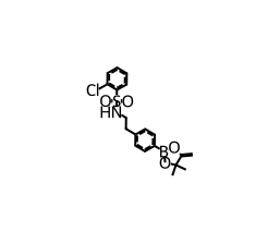 C=C1OB(c2ccc(CCNS(=O)(=O)c3ccccc3Cl)cc2)OC1(C)C